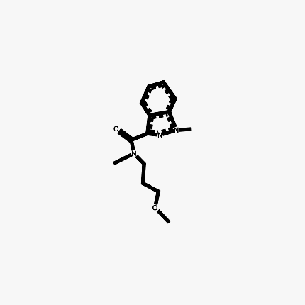 COCCCN(C)C(=O)c1nn(C)c2ccccc12